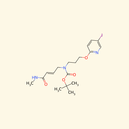 CNC(=O)/C=C/CN(CCCOc1ccc(I)cn1)C(=O)OC(C)(C)C